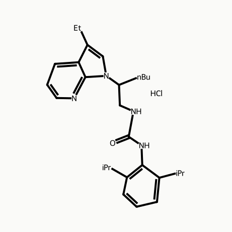 CCCCC(CNC(=O)Nc1c(C(C)C)cccc1C(C)C)n1cc(CC)c2cccnc21.Cl